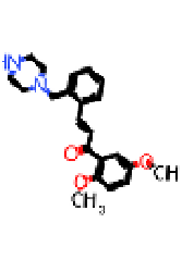 COc1ccc(OC)c(C(=O)/C=C/c2ccccc2CN2CCNCC2)c1